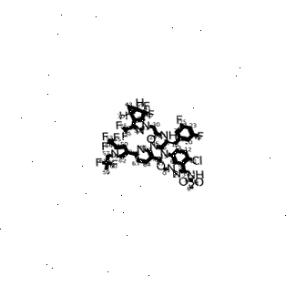 Cn1nc(NS(C)(=O)=O)c2c(Cl)ccc(-n3c([C@H](Cc4cc(F)cc(F)c4)NC(=O)Cn4nc(C(F)F)c5c4C(F)(F)[C@@H]4C[C@H]54)nc4nc(-c5cc(C(F)(F)F)n(CC(C)(F)F)c5)ccc4c3=O)c21